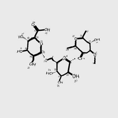 COC1C(O[C@H]2O[C@H](CO[C@H]3OC(C(=O)O)[C@@H](O)C(O)C3O)[C@@H](O)C(O)C2O)C(C)OC(C)[C@@H]1O